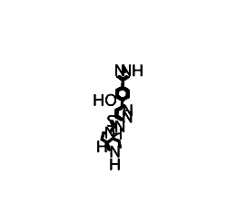 Oc1cc(-c2cn[nH]c2)ccc1-c1cc2sc(N3CC[C@H]4CNCC[C@H]43)nc2nn1